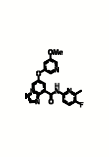 COc1cncc(Oc2cc(C(=O)Nc3ccc(F)c(C)n3)c3ncnn3c2)c1